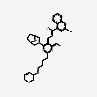 C\C(=C/C=c1/c(N2CC3CCC(C2)N3)nc(CCCCNC2C=CCOC2)n/c1=C\F)c1cc(O)cc2ccccc12